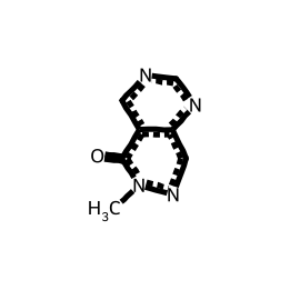 Cn1ncc2ncncc2c1=O